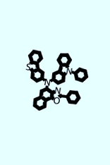 c1ccc(-c2nc3c(N(c4ccc5sc6ccccc6c5c4)c4ccc5c(c4)c4ccccc4n5-c4ccccc4)cc4ccccc4c3o2)cc1